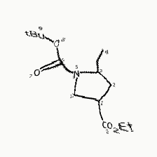 CCOC(=O)C1CC(C)N(C(=O)OC(C)(C)C)C1